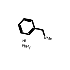 CNCc1ccccc1.I.[PbH2]